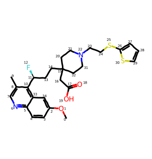 COc1ccc2ncc(C)c([C@@H](F)CCC3(CC(=O)O)CCN(CCSc4cccs4)CC3)c2c1